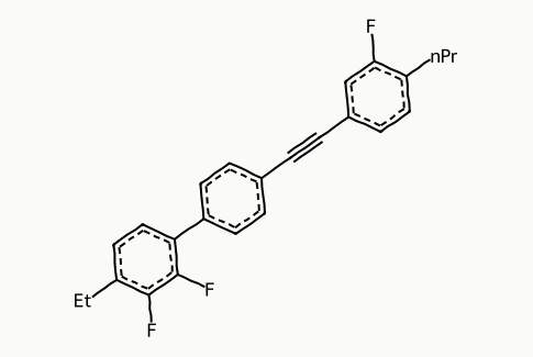 CCCc1ccc(C#Cc2ccc(-c3ccc(CC)c(F)c3F)cc2)cc1F